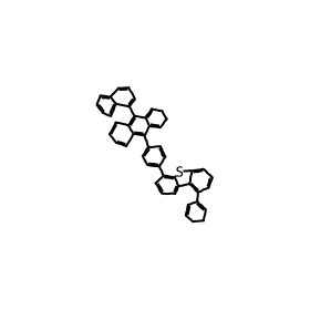 C1=CC(c2cccc3sc4c(-c5ccc(-c6c7c(c(-c8cccc9ccccc89)c8ccccc68)=CCCC=7)cc5)cccc4c23)=CCC1